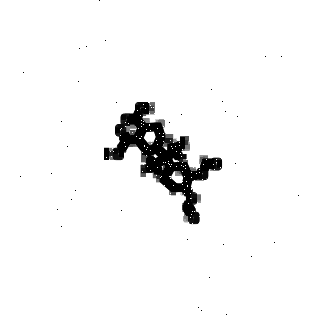 O=COC1CCC(C(C2CCC(C(=O)O)C(C(=O)O)C2)(C(F)(F)F)C(F)(F)F)CC1OC=O